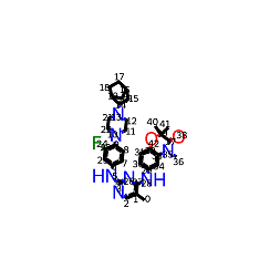 Cc1cnc(Nc2ccc(N3CCN(C4CC5CCC4C5)CC3)c(F)c2)nc1Nc1ccc2c(c1)N(C)C(=O)C(C)(C)O2